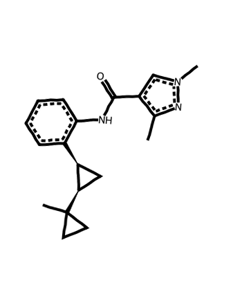 Cc1nn(C)cc1C(=O)Nc1ccccc1[C@H]1C[C@H]1C1(C)CC1